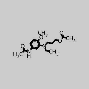 CCN(CCCOC(C)=O)c1cc(NC(C)=O)ccc1OC